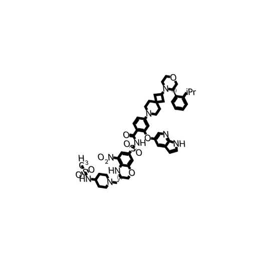 CC(C)c1ccccc1[C@@H]1COCCN1C1CC2(CCN(c3ccc(C(=O)NS(=O)(=O)c4cc5c(c([N+](=O)[O-])c4)N[C@@H](CN4CCC(NS(C)(=O)=O)CC4)CO5)c(Oc4cnc5[nH]ccc5c4)c3)CC2)C1